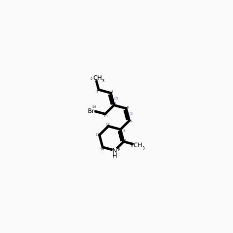 CC/C=C(/C=C\C1=C(C)NCCC1)CBr